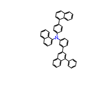 c1ccc(-c2cc(-c3cccc(N(c4ccc(-c5cccc6ccccc56)cc4)c4cccc5ccccc45)c3)cc3ccccc23)cc1